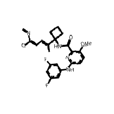 C=N/C(Cl)=C\C=C(/C)C1(NC(=O)c2nc(Nc3cc(F)cc(F)c3)ccc2OC)CCC1